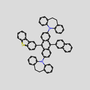 c1ccc2c(c1)CCc1ccccc1N2c1ccc2c(-c3ccc4sc5ccccc5c4c3)c3cc(N4c5ccccc5CCc5ccccc54)ccc3c(-c3ccc4ccccc4c3)c2c1